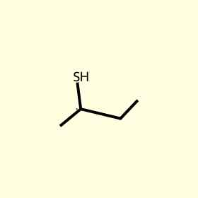 CC[C](C)S